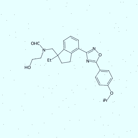 CCC1(CN(C=O)CCO)CCc2c(-c3noc(-c4ccc(OC(C)C)cc4)n3)cccc21